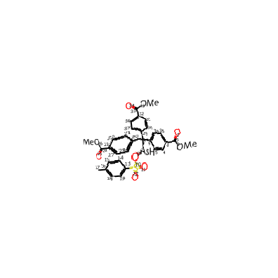 COC(=O)c1ccc(C([AsH]OS(=O)(=O)c2ccc(C)cc2)(c2ccc(C(=O)OC)cc2)c2ccc(C(=O)OC)cc2)cc1